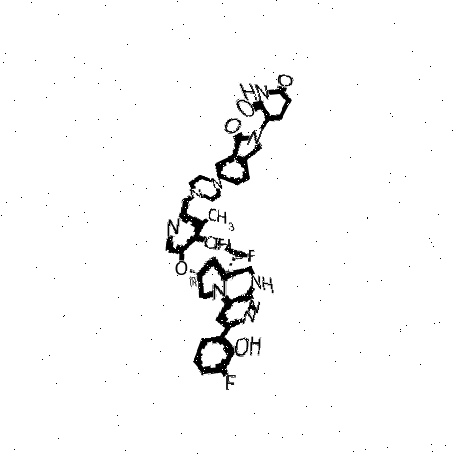 Cc1c(O[C@H]2CN3c4cc(-c5cccc(F)c5O)nnc4NC[C@]3(C(F)F)C2)cnc(CN2CCN(c3ccc4c(c3)C(=O)N(C3CCC(=O)NC3=O)C4)CC2)c1C